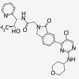 C[C@H](O)[C@@H](NC(=O)CN1Cc2ccc(-c3nc(NC4CCOCC4)ncc3Cl)cc2C1=O)c1ccccn1